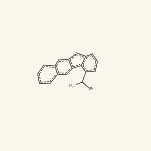 CC(C)C(C)c1cccc2sc3cc4ccccc4cc3c12